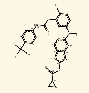 CN(c1ccc(F)c(NC(=O)Nc2ccc(C(F)(F)F)cc2)c1)c1ccc2nc(NC(=O)C3CC3)sc2n1